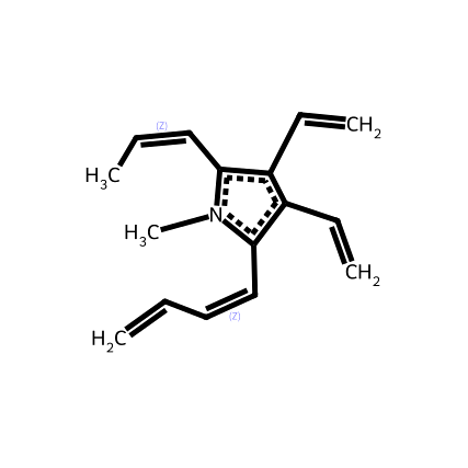 C=C/C=C\c1c(C=C)c(C=C)c(/C=C\C)n1C